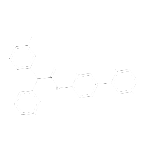 Cc1cc(C(C(=O)Nc2ccc(-c3cnccn3)cn2)c2cccnc2)ccn1